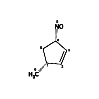 C[C@H]1C=C[C@@H](N=O)C1